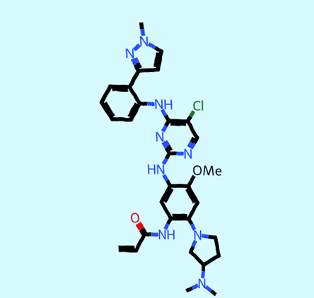 C=CC(=O)Nc1cc(Nc2ncc(Cl)c(Nc3ccccc3-c3ccn(C)n3)n2)c(OC)cc1N1CCC(N(C)C)C1